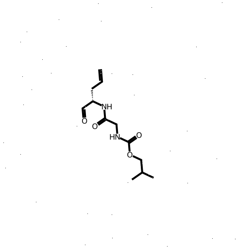 C=CC[C@@H](C=O)NC(=O)CNC(=O)OCC(C)C